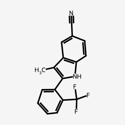 Cc1c(-c2ccccc2C(F)(F)F)[nH]c2ccc(C#N)cc12